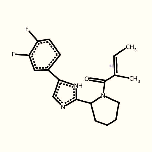 C/C=C(\C)C(=O)N1CCCCC1c1ncc(-c2ccc(F)c(F)c2)[nH]1